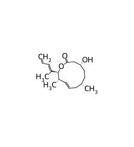 C=C/C=C(\C)[C@H]1OC(=O)C[C@H](O)CC[C@H](C)C/C=C/[C@@H]1C